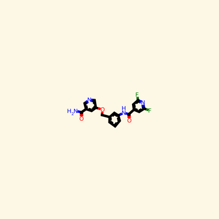 NC(=O)c1cncc(OCc2cccc(NC(=O)c3cc(F)nc(F)c3)c2)c1